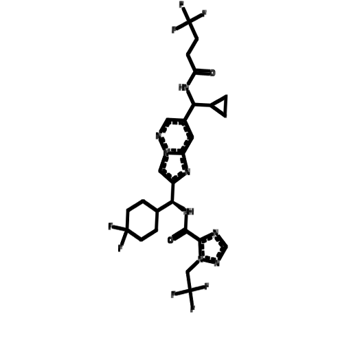 O=C(CCC(F)(F)F)NC(c1cnn2cc([C@@H](NC(=O)c3ncnn3CC(F)(F)F)C3CCC(F)(F)CC3)nc2c1)C1CC1